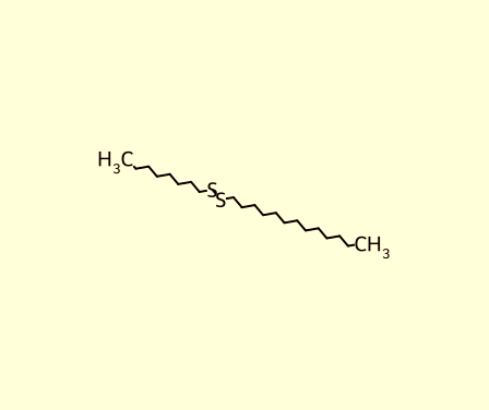 CCCCCCCCCCCCCSSCCCCCCCC